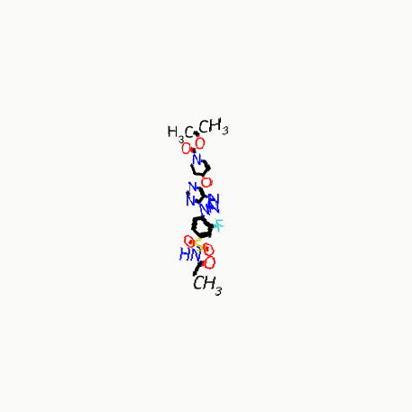 CCC(=O)NS(=O)(=O)c1ccc(-n2nnc3c(OC4CCN(C(=O)OC(C)C)CC4)ncnc32)c(F)c1